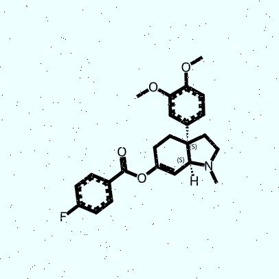 COc1ccc([C@@]23CCC(OC(=O)c4ccc(F)cc4)=C[C@@H]2N(C)CC3)cc1OC